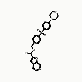 O=S(=O)(c1ccc(CNC(O)c2cc3ccncc3o2)cc1)c1ccc(N2CCOCC2)cc1